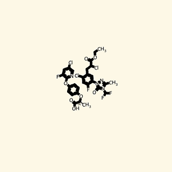 CCOC(=O)C(Cl)Cc1cc(-n2nc(C)n(C(F)F)c2=O)c(F)cc1Cl.C[C@@H](Oc1ccc(Oc2ncc(Cl)cc2F)cc1)C(=O)O